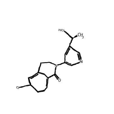 C[C@H](O)c1cncc(N2CCC3=CC(Cl)CC=C3C2=O)c1